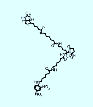 O=C(CCCCCNc1ccc([N+](=O)[O-])cc1[N+](=O)[O-])NCCCCCC(=O)NC(CCCCNC(=O)CCCCCNC(=O)CCCCC1SC[C@@H]2NC(=O)N[C@H]12)(C(=O)O)N1C(=O)CCC1=O